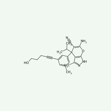 Cc1cc(C#CCCCO)cc(C2(C(C)C)C(C#N)=C(N)Oc3[nH]nc(C)c32)c1